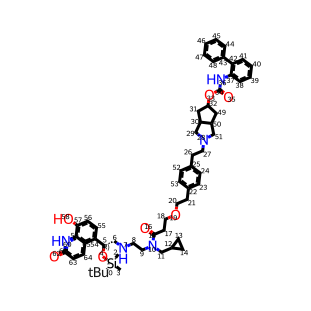 CC(C)(C)[Si](C)(C)O[C@@H](CNCCN(CC1CC1)C(=O)CCOCCc1ccc(CCN2CC3CC(OC(=O)Nc4ccccc4-c4ccccc4)CC3C2)cc1)c1ccc(O)c2[nH]c(=O)ccc12